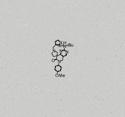 CCC(C)Nc1ncc2c(n1)C1(CCN(Cc3ccn[nH]3)C1)C(=O)N(c1ccc(OC)cc1)C2